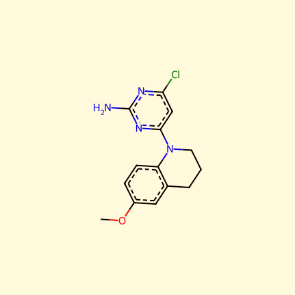 COc1ccc2c(c1)CCCN2c1cc(Cl)nc(N)n1